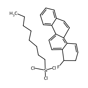 CCCCCCCC[Si](Cl)(Cl)Cl.FC1CC=Cc2c1ccc1c2ccc2ccccc21